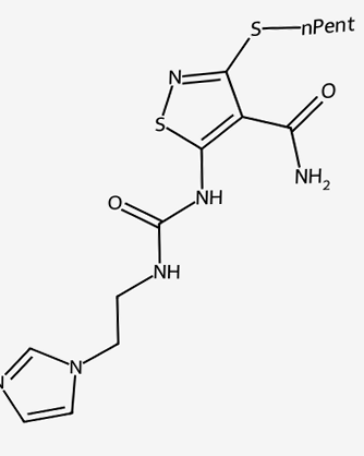 CCCCCSc1nsc(NC(=O)NCCn2ccnc2)c1C(N)=O